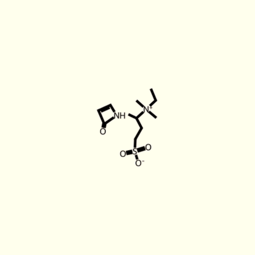 CC[N+](C)(C)C(C)CCS(=O)(=O)[O-].O=C1C=CN1